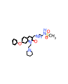 CS(=O)(=O)NCCNCc1cc2ccc(Oc3ccccc3)cc2n(CCN2CCCCC2)c1=O